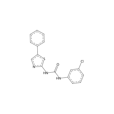 O=C(Nc1cccc(Cl)c1)Nc1ncc(-c2ccccc2)s1